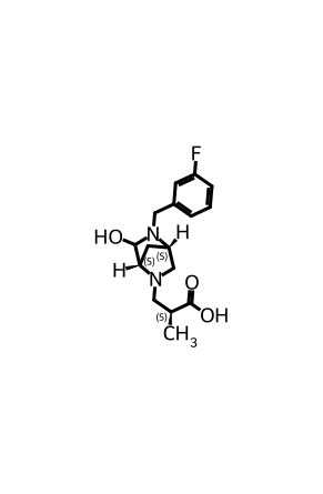 C[C@@H](CN1C[C@@H]2C[C@H]1C(O)N2Cc1cccc(F)c1)C(=O)O